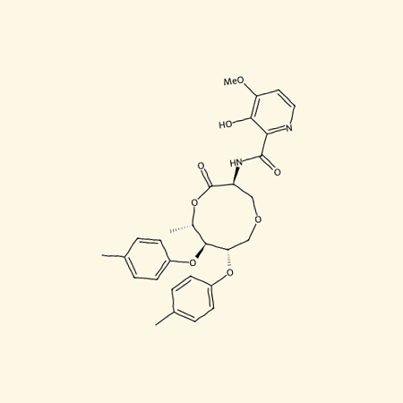 COc1ccnc(C(=O)N[C@H]2COC[C@H](Oc3ccc(C)cc3)[C@@H](Oc3ccc(C)cc3)[C@H](C)OC2=O)c1O